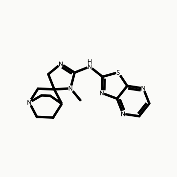 CN1C(Nc2nc3nccnc3s2)=NCC12CN1CCC2CC1